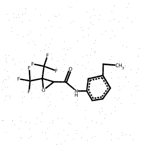 CCc1cccc(NC(=O)C2OC2(C(F)(F)F)C(F)(F)F)c1